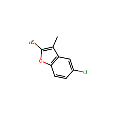 Cc1c(S)oc2ccc(Cl)cc12